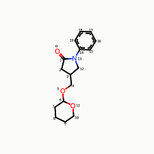 O=C1CC(COC2CCCCO2)CN1c1ccccc1